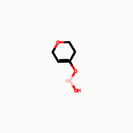 OBOC1=CCOCC1